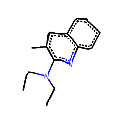 CCN(CC)c1nc2ccccc2cc1C